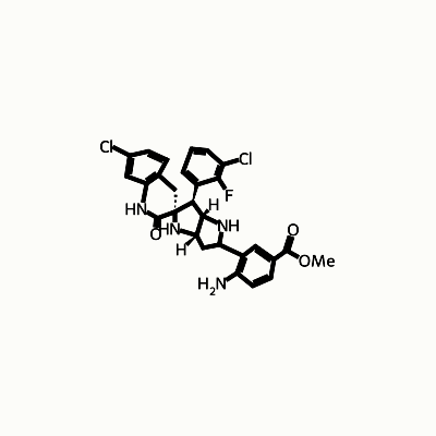 COC(=O)c1ccc(N)c(C2C[C@@H]3N[C@]4(Cc5ccc(Cl)cc5NC4=O)[C@@H](c4cccc(Cl)c4F)[C@@H]3N2)c1